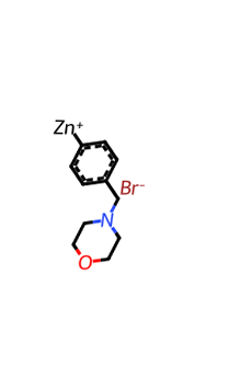 [Br-].[Zn+][c]1ccc(CN2CCOCC2)cc1